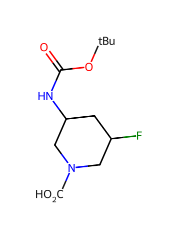 CC(C)(C)OC(=O)NC1CC(F)CN(C(=O)O)C1